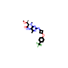 CO[C@@H](C)[C@H]1C(=O)Nc2c(C)nc(N=C3CC(Oc4ccc(C(F)(F)F)cc4)C3)nc2N1C